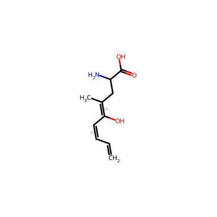 C=C/C=C\C(O)=C(/C)CC(N)C(=O)O